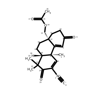 [C-]#[N+]C1=C[C@]2(C)C3=CC(=O)CC[C@]3(COC(C)=O)CC[C@H]2C(C)(C)C1=O